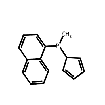 [CH3][Pt]([c]1cccc2ccccc12)[CH]1C=CC=C1